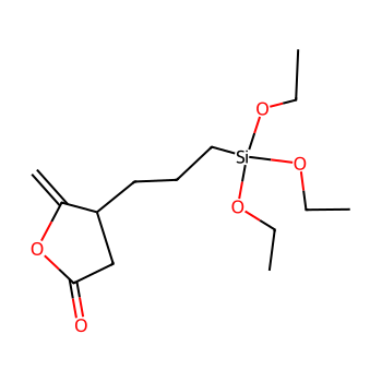 C=C1OC(=O)CC1CCC[Si](OCC)(OCC)OCC